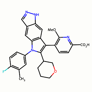 COc1nc(C(=O)O)ccc1-c1c(C2CCCOC2)n(-c2ccc(F)c(C)c2)c2cc3cn[nH]c3cc12